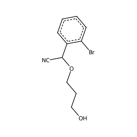 N#CC(OCCCO)c1ccccc1Br